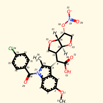 COc1ccc2c(c1)c([C@@H](C(=O)O)C1CO[C@@H]3[C@H](O[N+](=O)[O-])CO[C@@H]13)c(C)n2C(=O)c1ccc(Cl)cc1